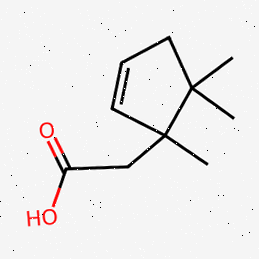 CC1(C)CC=CC1(C)CC(=O)O